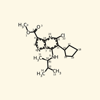 COC(=O)c1cnn2c(N[C@H](C)C(C)C)c(C3CCCC3)c(Cl)nc12